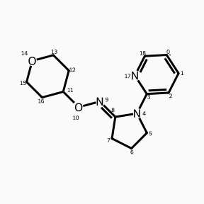 [c]1ccc(N2CCCC2=NOC2CCOCC2)nc1